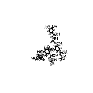 CC(C)(C)NCC(O)c1cc(O)cc(O)c1.CC(C)(C)NCC(O)c1cc(O)cc(O)c1.CC(C)NCC(O)c1ccc(O)c(O)c1.Cl.O=S(=O)(O)O